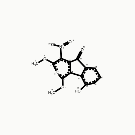 COc1cc(OC)c([N+](=O)[O-])c2c1-c1c(O)cccc1C2=O